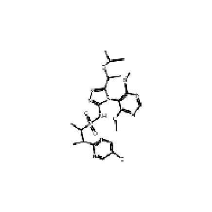 COc1ncnc(OC)c1-n1c(NS(=O)(=O)C(C)C(C)c2ncc(Cl)cn2)nnc1C(C)OC(C)C